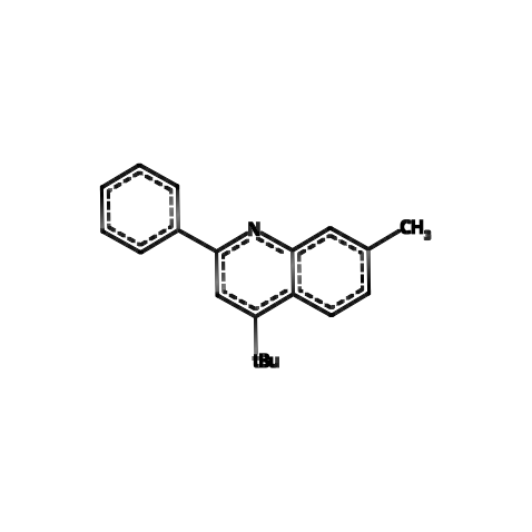 Cc1ccc2c(C(C)(C)C)cc(-c3ccccc3)nc2c1